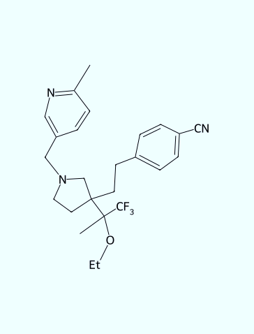 CCOC(C)(C(F)(F)F)C1(CCc2ccc(C#N)cc2)CCN(Cc2ccc(C)nc2)C1